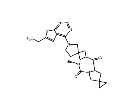 CC(C)(C)OC(=O)N1CC2(CC2)CC1C(=O)N1CC2(CCN(c3ncnc4sc(CC(F)(F)F)cc34)C2)C1